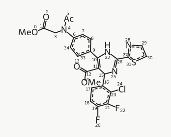 COC(=O)CN(C(C)=O)c1ccc(C2=C(C(=O)OC)C(c3ccc(F)c(F)c3Cl)N=C(c3nccs3)N2)cc1